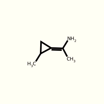 CC(N)=C1CC1C